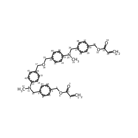 C=CC(=O)OCc1ccc(CN(C)c2ccc(COCc3ccc(N(C)Cc4ccc(COC(=O)C=C)cc4)cc3)cc2)cc1